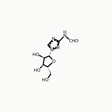 O=[C]Nc1ncn([C@@H]2O[C@H](CO)[C@@H](O)[C@H]2O)n1